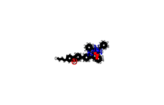 CCCCc1ccc2c(c1)oc1cc(-c3ccc4c5ccccc5n(-c5ccccc5-c5nc(-c6ccccc6)nc(-c6ccccc6)n5)c4c3)ccc12